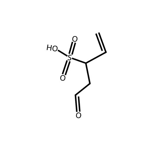 C=CC(CC=O)S(=O)(=O)O